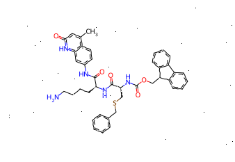 Cc1cc(=O)[nH]c2cc(NC(=O)[C@H](CCCCN)NC(=O)[C@H](CSCc3ccccc3)NC(=O)OCC3c4ccccc4-c4ccccc43)ccc12